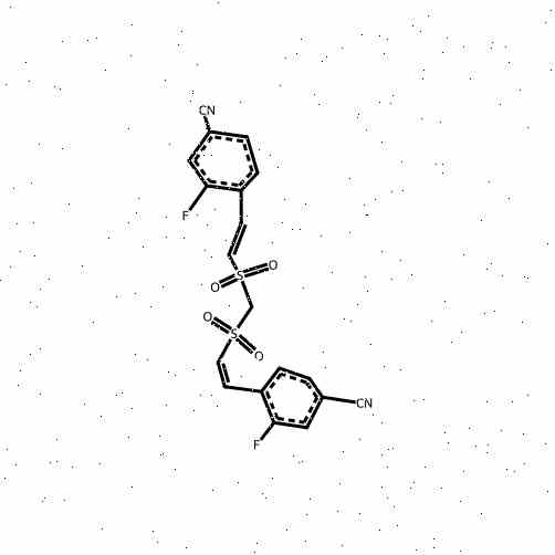 N#Cc1ccc(/C=C\S(=O)(=O)CS(=O)(=O)/C=C/c2ccc(C#N)cc2F)c(F)c1